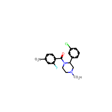 O=C(O)N1CCN(C(=O)c2ccc([N+](=O)[O-])cc2F)C(c2cccc(Cl)c2)C1